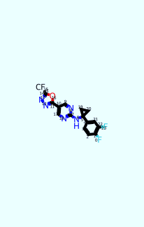 Fc1ccc(C2(Nc3ncc(-c4nnc(C(F)(F)F)o4)cn3)CC2)cc1F